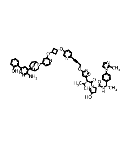 Cc1nccn1-c1ccc([C@H](C)NC(=O)[C@@H]2C[C@@H](O)CN2C(=O)[C@H](c2cc(OCC#Cc3ccc(O[C@H]4C[C@H](Oc5cc(N6CC7CCCC6CN7c6cc(-c7ccccc7O)nnc6N)ccn5)C4)cn3)no2)C(C)C)cc1